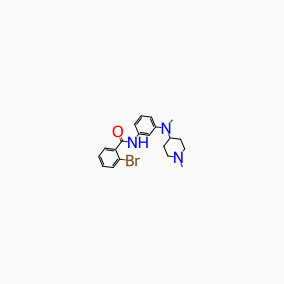 CN1CCC(N(C)c2cccc(NC(=O)c3ccccc3Br)c2)CC1